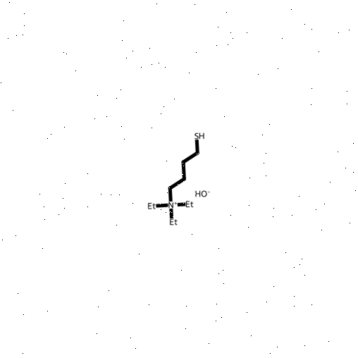 CC[N+](CC)(CC)CCCCS.[OH-]